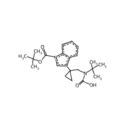 CC(C)(C)OC(=O)n1cc(C2(CN(C(=O)O)C(C)(C)C)CC2)c2ccccc21